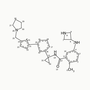 Cc1ccc(NC2CNC2)cc1C(=O)NC1(c2cccc(-c3ccc(CN4CCCC4)s3)c2)CC1